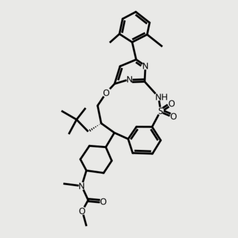 COC(=O)N(C)C1CCC(C2c3cccc(c3)S(=O)(=O)Nc3nc(cc(-c4c(C)cccc4C)n3)OC[C@H]2CC(C)(C)C)CC1